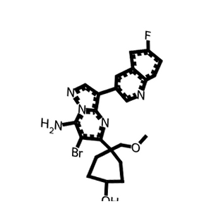 COCC1(c2nc3c(-c4cnc5ccc(F)cc5c4)cnn3c(N)c2Br)CCC(O)CC1